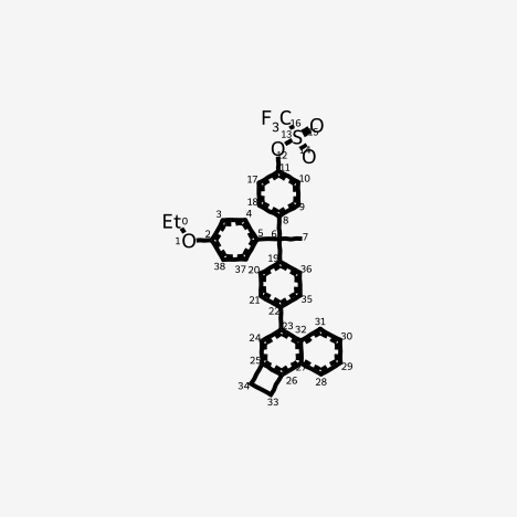 CCOc1ccc(C(C)(c2ccc(OS(=O)(=O)C(F)(F)F)cc2)c2ccc(-c3cc4c(c5ccccc35)CC4)cc2)cc1